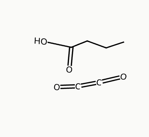 CCCC(=O)O.O=C=C=O